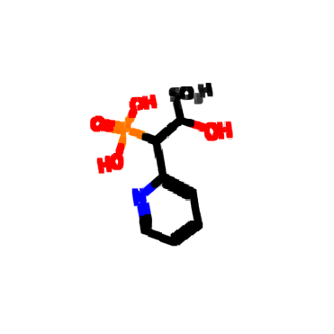 O=P(O)(O)C(c1ccccn1)C(O)S(=O)(=O)O